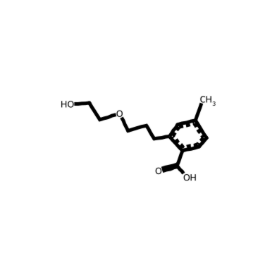 Cc1ccc(C(=O)O)c(CCCOCCO)c1